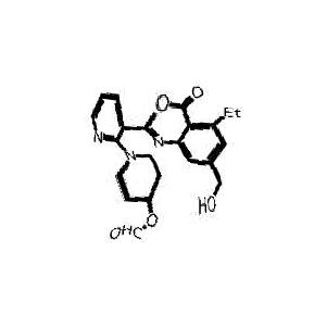 CCc1cc(CO)cc2nc(-c3cccnc3N3CCC(OC=O)CC3)oc(=O)c12